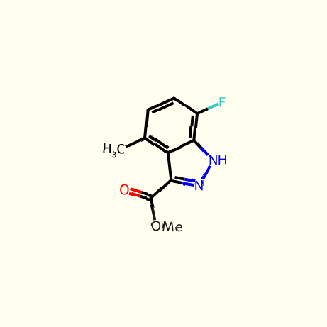 COC(=O)c1n[nH]c2c(F)ccc(C)c12